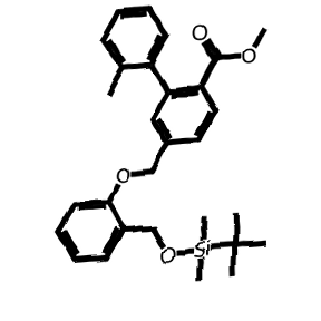 COC(=O)c1ccc(COc2ccccc2CO[Si](C)(C)C(C)(C)C)cc1-c1ccccc1C